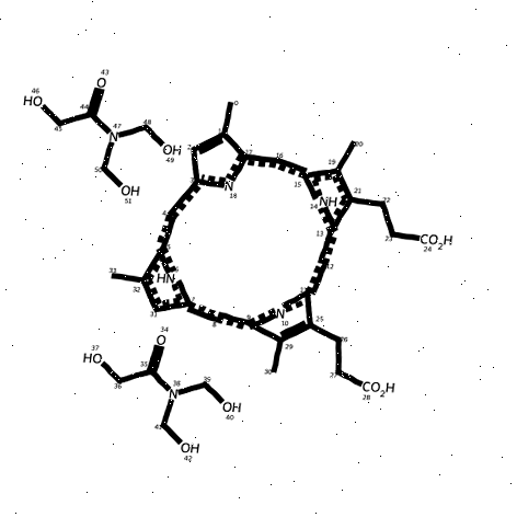 CC1=Cc2cc3[nH]c(cc4nc(cc5[nH]c(cc1n2)c(C)c5CCC(=O)O)C(CCC(=O)O)=C4C)cc3C.O=C(CO)N(CO)CO.O=C(CO)N(CO)CO